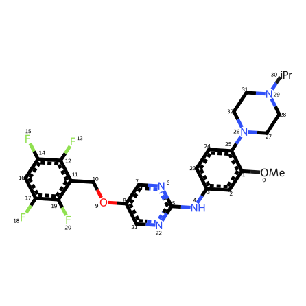 COc1cc(Nc2ncc(OCc3c(F)c(F)cc(F)c3F)cn2)ccc1N1CCN(C(C)C)CC1